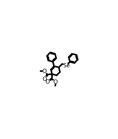 COC(=O)C1(C(=O)OC)C=C(c2ccccc2)C(C[Se]c2ccccc2)CC1